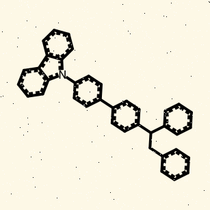 c1ccc(CC(c2ccccc2)c2ccc(-c3ccc(-n4c5ccccc5c5ccccc54)cc3)cc2)cc1